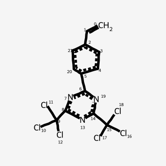 C=Cc1ccc(-c2nc(C(Cl)(Cl)Cl)nc(C(Cl)(Cl)Cl)n2)cc1